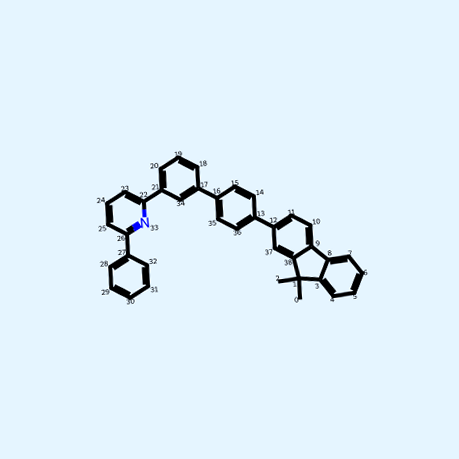 CC1(C)c2ccccc2-c2ccc(-c3ccc(-c4cccc(-c5cccc(-c6ccccc6)n5)c4)cc3)cc21